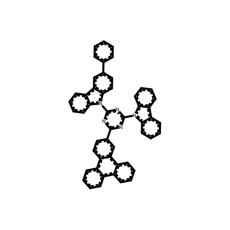 c1ccc(-c2ccc3c(c2)c2ccccc2n3-c2nc(-c3ccc4c5ccccc5c5ccccc5c4c3)nc(-n3c4ccccc4c4ccccc43)n2)cc1